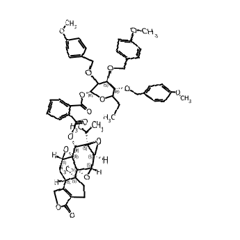 CCC1O[C@H](OC(=O)c2ccccc2C(=O)O[C@@H]2[C@@]3(C(C)C)O[C@H]3[C@@H]3O[C@]34[C@]23O[C@H]3C[C@H]2C3=C(CC[C@@]24C)C(=O)OC3)C(OCc2ccc(OC)cc2)[C@@H](OCc2ccc(OC)cc2)[C@@H]1OCc1ccc(OC)cc1